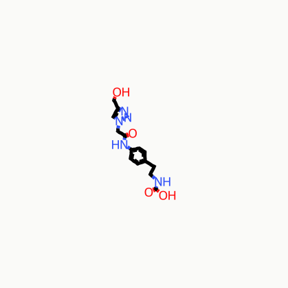 O=C(O)NCCc1ccc(NC(=O)Cn2cc(CO)nn2)cc1